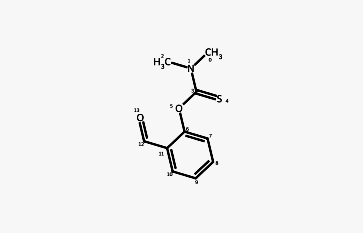 CN(C)C(=S)Oc1ccccc1C=O